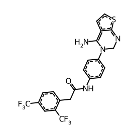 NC1=c2ccsc2=NCN1c1ccc(NC(=O)Cc2ccc(C(F)(F)F)cc2C(F)(F)F)cc1